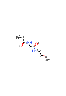 CC(C)CC(=O)NCC(=O)NCCOC(C)C